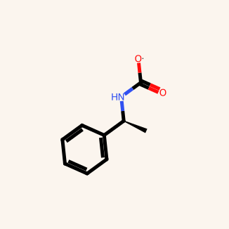 C[C@H](NC([O])=O)c1ccccc1